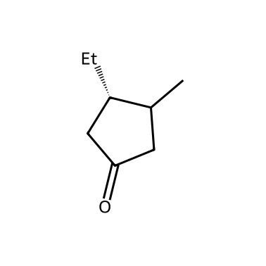 CC[C@H]1CC(=O)CC1C